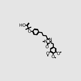 C=C(O)C(C)(C)Oc1ccc(CCCc2nn(Cc3cc(OC)c(OC)c(OC)c3)c(=O)n2C)cc1